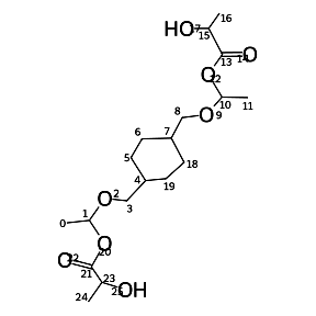 CC(OCC1CCC(COC(C)OC(=O)C(C)O)CC1)OC(=O)C(C)O